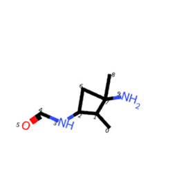 CC1C(NC=O)CC1(C)N